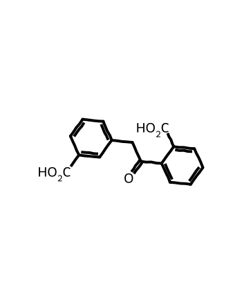 O=C(O)c1cccc(CC(=O)c2ccccc2C(=O)O)c1